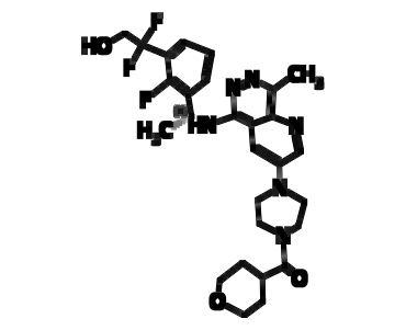 Cc1nnc(N[C@H](C)c2cccc(C(F)(F)CO)c2F)c2cc(N3CCN(C(=O)C4CCOCC4)CC3)cnc12